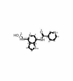 O=C(O)Nc1ncc(NC(=O)c2cccnc2)c2sccc12